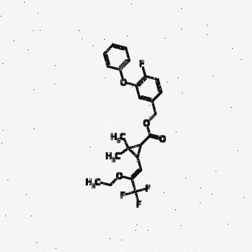 CCOC(=CC1C(C(=O)OCc2ccc(F)c(Oc3ccccc3)c2)C1(C)C)C(F)(F)F